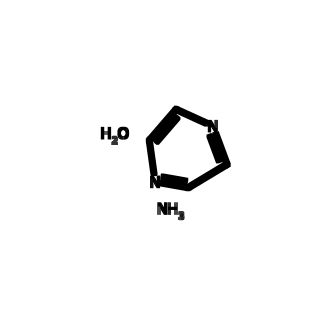 N.O.c1cnccn1